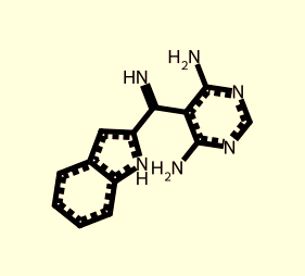 N=C(c1cc2ccccc2[nH]1)c1c(N)ncnc1N